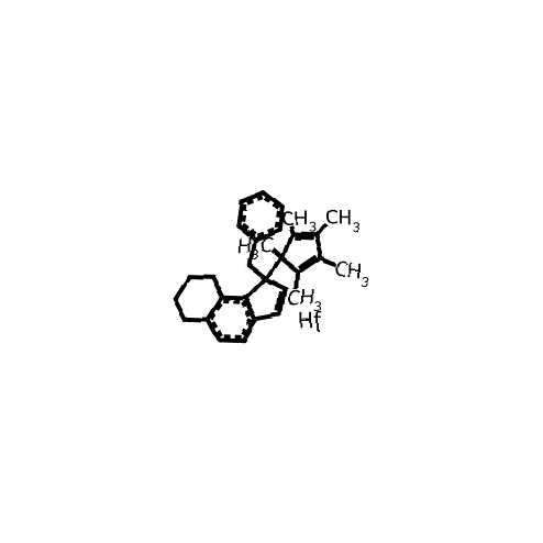 CC1=C(C)C(C)(C2(Cc3ccccc3)C=Cc3ccc4c(c32)CCCC4)C(C)=C1C.[Hf]